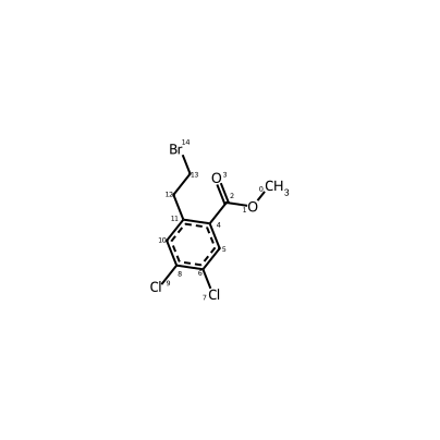 COC(=O)c1cc(Cl)c(Cl)cc1CCBr